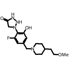 COCCC1CCN(Cc2cc(O)c(N3CC(=O)NN3)c(F)c2)CC1